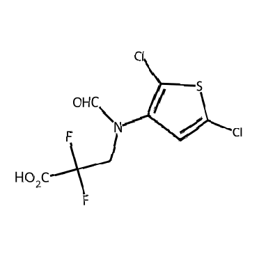 O=CN(CC(F)(F)C(=O)O)c1cc(Cl)sc1Cl